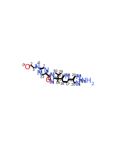 COCCN(C)c1cnc(-c2nc(C(C)(c3ccc(-c4cnc(N)nc4)nc3)C(C)C)no2)cn1